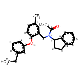 COC(=O)N(Cc1cc(C(F)(F)F)ccc1Oc1cccc(CC(=O)O)c1)C1CCc2ccccc21